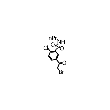 CCCNS(=O)(=O)c1cc(C(=O)CBr)ccc1Cl